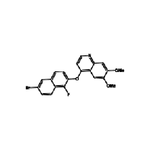 COc1cc2nccc(Oc3ccc4cc(Br)ccc4c3F)c2cc1OC